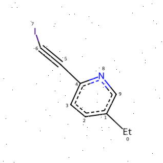 CCc1ccc(C#CI)nc1